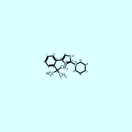 CC(C)(C)c1ccccc1-c1csc(N2CCCCC2)n1